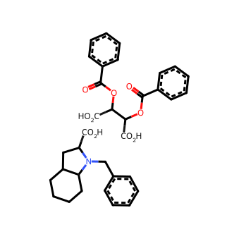 O=C(O)C1CC2CCCCC2N1Cc1ccccc1.O=C(OC(C(=O)O)C(OC(=O)c1ccccc1)C(=O)O)c1ccccc1